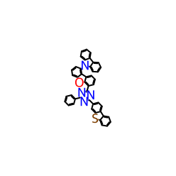 c1ccc(-c2nc(-c3ccc4c(c3)sc3ccccc34)nc(-c3cccc4c3oc3cccc(-n5c6ccccc6c6ccccc65)c34)n2)cc1